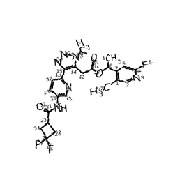 Cc1cnc(F)cc1C(C)OC(=O)Cc1c(-c2ccc(NC(=O)C3CC(F)(F)C3)cn2)nnn1C